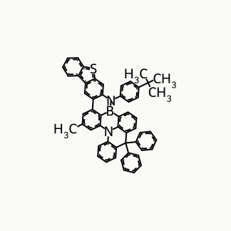 Cc1cc2c3c(c1)N1c4ccccc4C(c4ccccc4)(c4ccccc4)c4cccc(c41)B3N(c1ccc(C(C)(C)C)cc1)c1cc3sc4ccccc4c3cc1-2